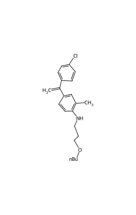 C=C(c1ccc(Cl)cc1)c1ccc(NCCCOCCCC)c(C)c1